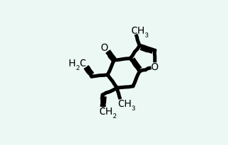 C=CC1C(=O)c2c(C)coc2CC1(C)C=C